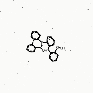 COc1ccccc1Cc1ccccc1Pc1ccccc1-c1ccccc1CO